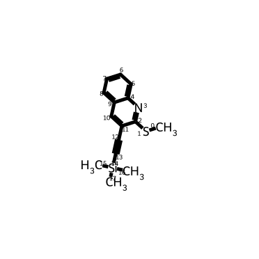 CSc1nc2cc[c]cc2cc1C#C[Si](C)(C)C